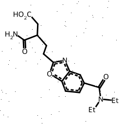 CCN(CC)C(=O)c1ccc2oc(CCC(CC(=O)O)C(N)=O)nc2c1